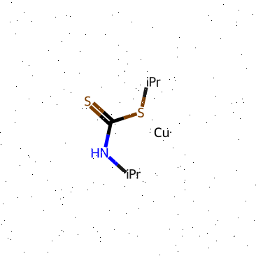 CC(C)NC(=S)SC(C)C.[Cu]